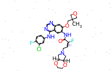 CC1(COc2cc3ncnc(Nc4ccc(F)c(Cl)c4)c3cc2NC(=O)/C(F)=C\CN2C[C@@H]3OCCO[C@@H]3C2)COC1